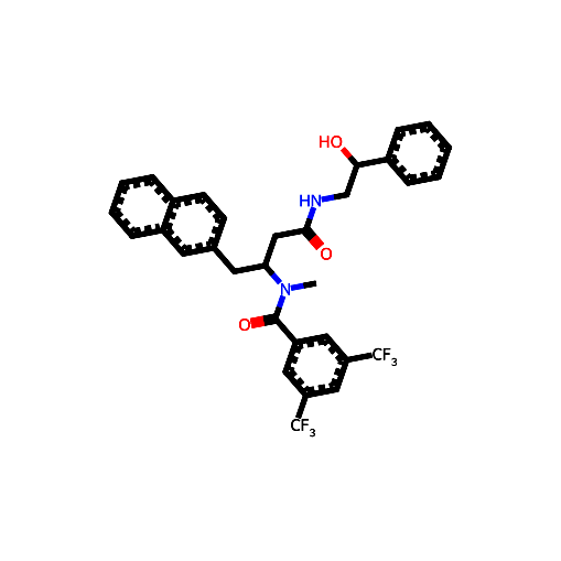 CN(C(=O)c1cc(C(F)(F)F)cc(C(F)(F)F)c1)C(CC(=O)NCC(O)c1ccccc1)Cc1ccc2ccccc2c1